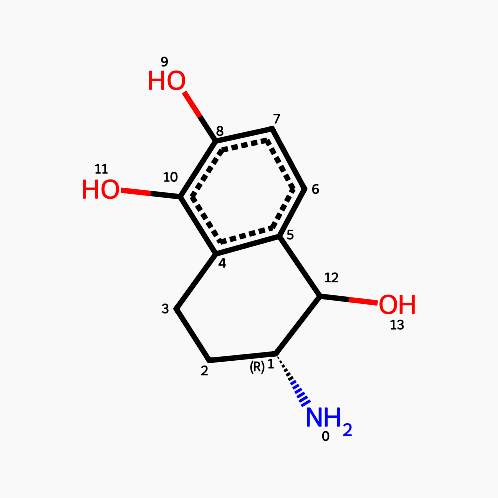 N[C@@H]1CCc2c(ccc(O)c2O)C1O